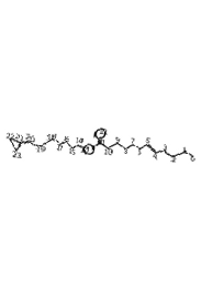 CCCCC=CCCCCCC(=O)OCCCCCCCC1CC1